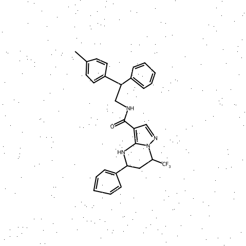 Cc1ccc(C(CNC(=O)c2cnn3c2NC(c2ccccc2)CC3C(F)(F)F)c2ccccc2)cc1